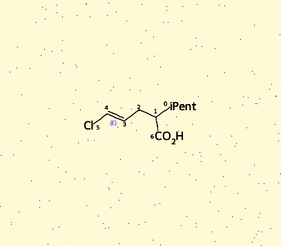 CCCC(C)C(C/C=C/Cl)C(=O)O